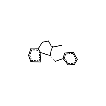 CN1CCc2ccccc2[C@H]1Cc1ccccc1